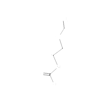 CC(=O)NCCSCP